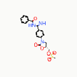 CS(=O)(=O)OC[C@H]1CN(c2ccc(C(=N)NC(=O)c3ccccc3)cc2)C(=O)O1